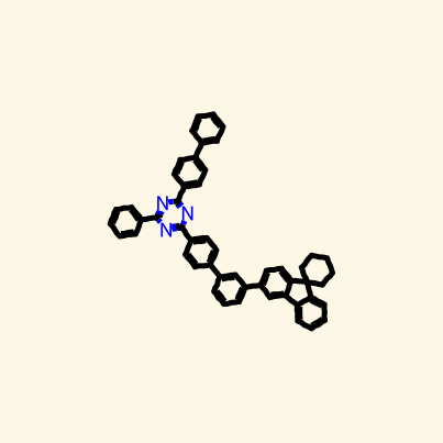 c1ccc(-c2ccc(-c3nc(-c4ccccc4)nc(-c4ccc(-c5cccc(-c6ccc7c(c6)-c6ccccc6C76CCCCC6)c5)cc4)n3)cc2)cc1